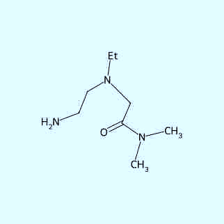 CCN(CCN)CC(=O)N(C)C